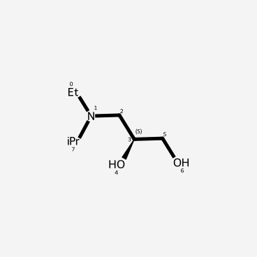 CCN(C[C@H](O)CO)C(C)C